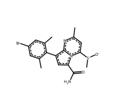 Cc1cc([S+](C)[O-])n2c(C(N)=O)cc(-c3c(C)cc(Br)cc3C)c2n1